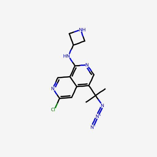 CC(C)(N=[N+]=[N-])c1cnc(NC2CNC2)c2cnc(Cl)cc12